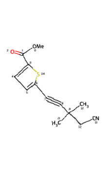 COC(=O)c1ccc(C#CC(C)(C)CC#N)s1